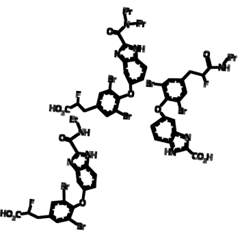 CC(C)N(C(=O)c1nc2cc(Oc3c(Br)cc(CC(F)C(=O)O)cc3Br)ccc2[nH]1)C(C)C.CC(C)NC(=O)C(F)Cc1cc(Br)c(Oc2ccc3[nH]c(C(=O)O)nc3c2)c(Br)c1.CCNC(=O)c1nc2cc(Oc3c(Br)cc(CC(F)C(=O)O)cc3Br)ccc2[nH]1